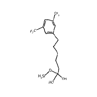 OC(O)(CCCCCc1cc(C(F)(F)F)cc(C(F)(F)F)c1)O[SiH3]